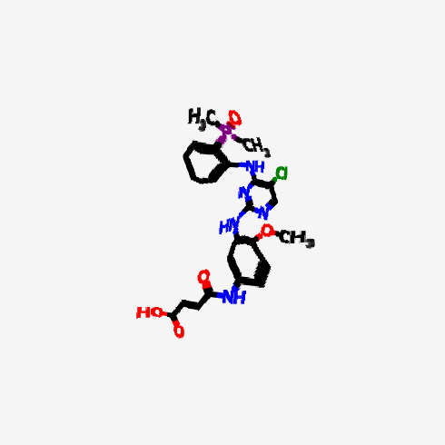 COc1ccc(NC(=O)C=CC(=O)O)cc1Nc1ncc(Cl)c(Nc2ccccc2P(C)(C)=O)n1